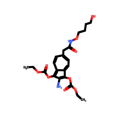 CCOC(=O)Oc1c2ccc(CC(=O)NOCCCCO)ccc-2c(OC(=O)OCC)c1N